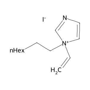 C=C[N+]1(CCCCCCCC)C=CN=C1.[I-]